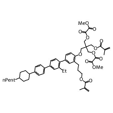 C=C(C)C(=O)OCCCc1cc(-c2ccc(-c3ccc(C4CCC(CCCCC)CC4)cc3)cc2CC)ccc1OCC(COC(=O)C(=C)C)(COC(=O)C(=O)OC)COC(=O)C(=O)OC